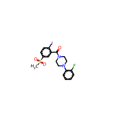 CS(=O)(=O)c1ccc(I)c(C(=O)N2CCN(c3ccccc3F)CC2)c1